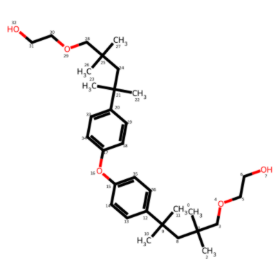 CC(C)(COCCO)CC(C)(C)c1ccc(Oc2ccc(C(C)(C)CC(C)(C)COCCO)cc2)cc1